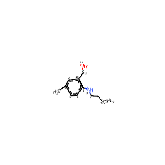 CCCNc1ccc(C)cc1CO